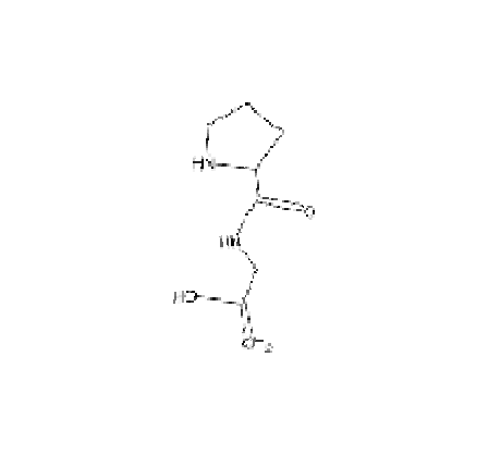 C=C(O)CNC(=O)C1CCCN1